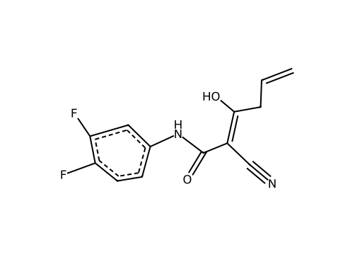 C=CCC(O)=C(C#N)C(=O)Nc1ccc(F)c(F)c1